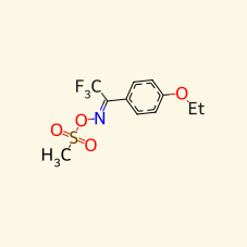 CCOc1ccc(/C(=N/OS(C)(=O)=O)C(F)(F)F)cc1